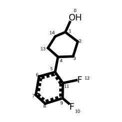 OC1CCC(c2cccc(F)c2F)CC1